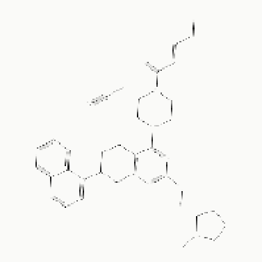 CN1CCC[C@H]1COc1nc2c(c(N3CCN(C(=O)/C=C/CCl)[C@@H](CC#N)C3)n1)CCC(c1cccc3ccccc13)C2